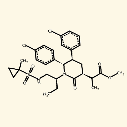 CC[C@@H](CNS(=O)(=O)C1(C)CC1)N1C(=O)[C@H](C(C)C(=O)OC)C[C@H](c2cccc(Cl)c2)[C@H]1c1ccc(Cl)cc1